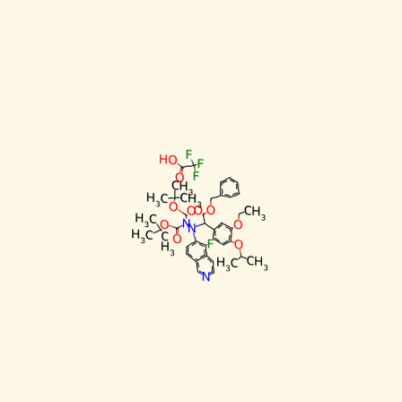 CCOc1cc(C(C(=O)OCc2ccccc2)N(c2ccc3cnccc3c2F)N(C(=O)OC(C)(C)C)C(=O)OC(C)(C)C)ccc1OC(C)C.O=C(O)C(F)(F)F